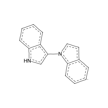 [c]1ccc2c(c1)ccn2-c1c[nH]c2ccccc12